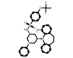 O=S(=O)(N[C@@H]1CN(c2ccccc2)C[C@H](N2c3ccccc3CCc3ccccc32)[C@H]1O)c1ccc(OC(F)(F)F)cc1